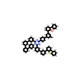 Cc1cc(-c2ccc(-c3nc(-c4cccc(-c5cccc(-c6ccccc6-c6ccccc6)c5)c4)nc(-c4cccc(-c5cccc(-c6cccc7c6sc6ccccc67)c5)c4)n3)cc2)cc(-c2cccc3c2oc2ccccc23)c1